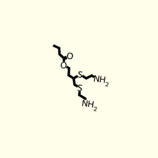 CCCC(=O)OCCC(CSCCN)SCCN